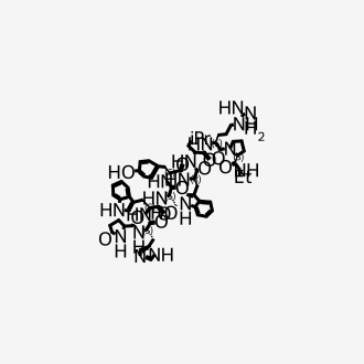 CCNC(=O)[C@@H]1CCCN1C(=O)[C@H](CCCNC(=N)N)NC(=O)C(CC(C)C)NC(=O)[C@@H](Cc1c[nH]c2ccccc12)NC(=O)[C@H](Cc1ccc(O)cc1)NC(=O)[C@H](CO)NC(=O)[C@H](Cc1c[nH]c2ccccc12)NC(=O)[C@H](Cc1cnc[nH]1)NC(=O)C1CCC(=O)N1